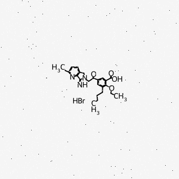 Br.CCCCc1cc(C(=O)CN2Cc3ccc(CC)nc3C2=N)cc(C(=O)O)c1OCC